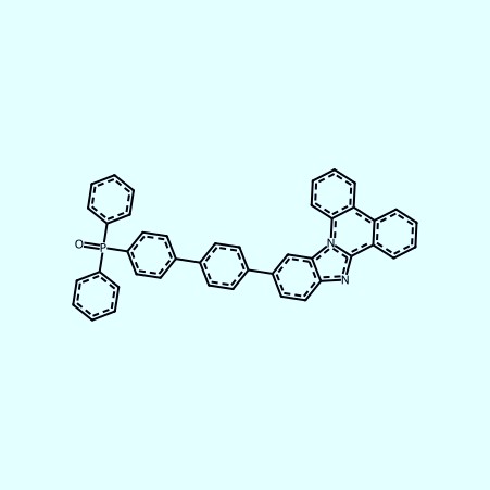 O=P(c1ccccc1)(c1ccccc1)c1ccc(-c2ccc(-c3ccc4nc5c6ccccc6c6ccccc6n5c4c3)cc2)cc1